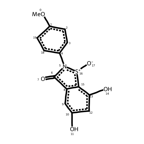 COc1ccc(-n2c(=O)c3cc(O)cc(O)c3[s+]2[O-])cc1